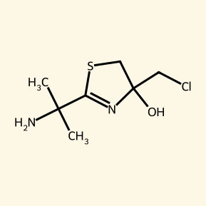 CC(C)(N)C1=NC(O)(CCl)CS1